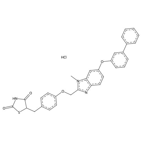 Cl.Cn1c(COc2ccc(CC3SC(=O)NC3=O)cc2)nc2ccc(Oc3cccc(-c4ccccc4)c3)cc21